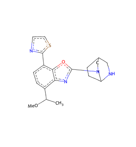 COC(C)c1ccc(-c2nccs2)c2oc(N3CC4CCC(C3)NC4)nc12